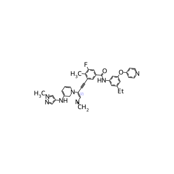 C=N/C=C(/C#Cc1cc(C(=O)Nc2cc(CC)cc(Oc3ccncc3)c2)cc(F)c1C)N1C=CC=C(Nc2cnn(C)c2)C1